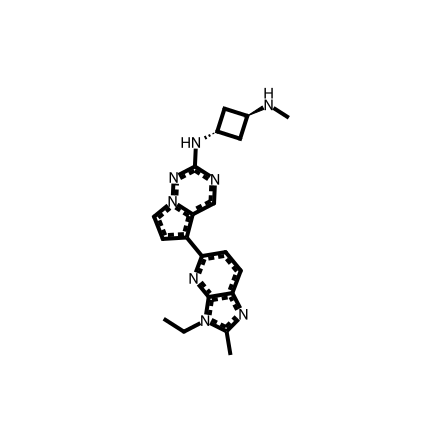 CCn1c(C)nc2ccc(-c3ccn4nc(N[C@H]5C[C@H](NC)C5)ncc34)nc21